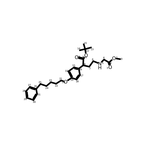 COC(=O)CNCCC(C(=O)OC(C)(C)C)c1ccc(OCCCCCc2ccccc2)cc1